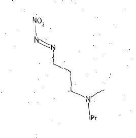 CC(C)N(C)[CH]CCN=N[N+](=O)[O-]